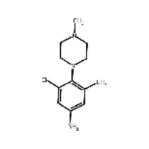 Cc1cc(N)cc(Cl)c1N1CCN(C)CC1